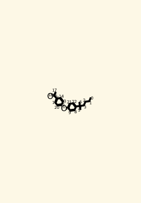 CCCCC(C)(C)c1ccc(Oc2ccc(C(C)=O)cc2)cc1